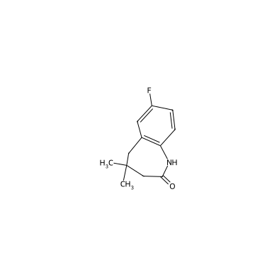 CC1(C)CC(=O)Nc2ccc(F)cc2C1